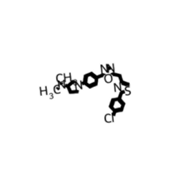 CN(C)C1CCN(c2ccc(-c3nnc(Cc4csc(-c5ccc(Cl)cc5)n4)o3)cc2)C1